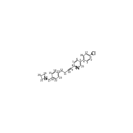 Clc1ccc(-c2ccc(C#CCCc3ccc(CN4CCC4)cc3)nc2)cc1